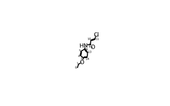 CCOc1ccc(NC(=O)C=CCl)cc1